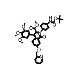 COC(=O)c1c(-c2cc(OC)c(OC)c(OC)c2)c2ccc(OCc3ccccn3)cc2c(=O)n1-c1ccc(NC(=O)OC(C)(C)C)cc1